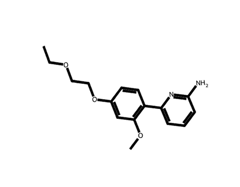 CCOCCOc1ccc(-c2cccc(N)n2)c(OC)c1